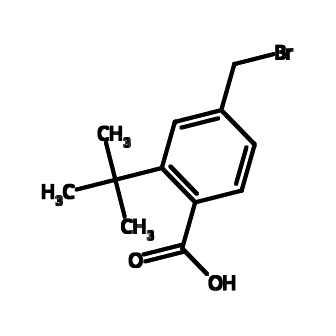 CC(C)(C)c1cc(CBr)ccc1C(=O)O